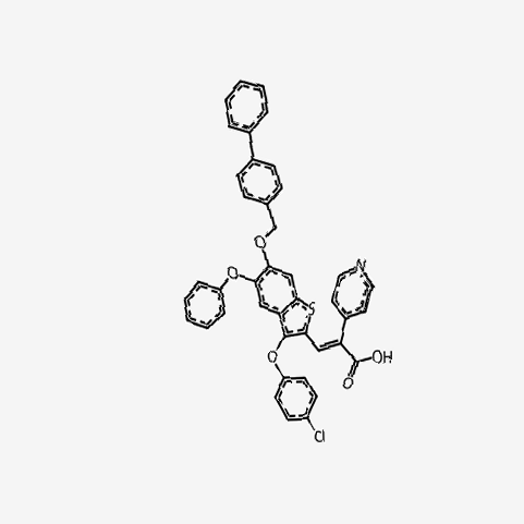 O=C(O)/C(=C/c1sc2cc(OCc3ccc(-c4ccccc4)cc3)c(Oc3ccccc3)cc2c1Oc1ccc(Cl)cc1)c1ccncc1